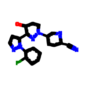 N#Cc1ccc(-n2ccc(=O)c(-c3ccnn3-c3ccccc3F)n2)cn1